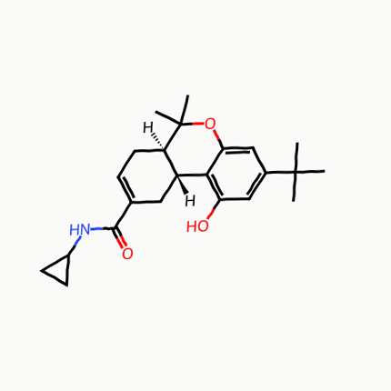 CC(C)(C)c1cc(O)c2c(c1)OC(C)(C)[C@@H]1CC=C(C(=O)NC3CC3)C[C@@H]21